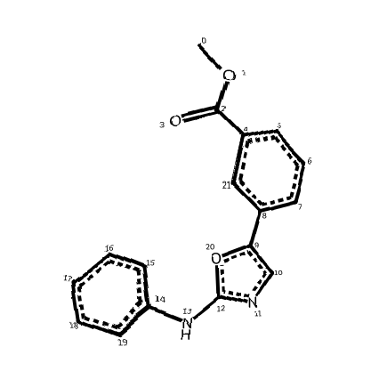 COC(=O)c1cccc(-c2cnc(Nc3ccccc3)o2)c1